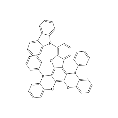 c1ccc(B2c3ccccc3Oc3c4c(c5c(oc6c(-n7c8ccccc8c8ccccc87)cccc65)c32)B(c2ccccc2)c2ccccc2O4)cc1